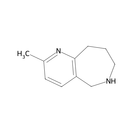 Cc1ccc2c(n1)CCCNC2